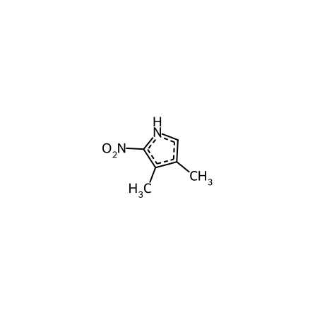 Cc1c[nH]c([N+](=O)[O-])c1C